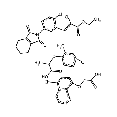 CCOC(=O)/C(Cl)=C/c1cc(N2C(=O)C3=C(CCCC3)C2=O)ccc1Cl.Cc1cc(Cl)ccc1OC(C)C(=O)O.O=C(O)COc1ccc(Cl)c2cccnc12